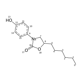 CCCCCCC1CN(c2ccc(O)cc2)C(=O)O1